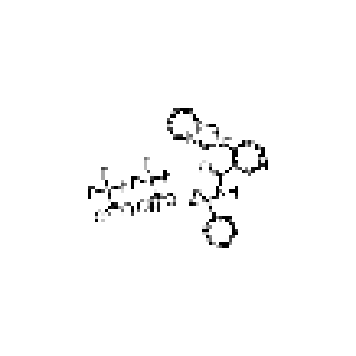 O=C(NC1(c2ccccc2)CC1)c1cnccc1-[n+]1cc2ccccn2c1.O=C(O)C(F)(F)F.O=C([O-])C(F)(F)F